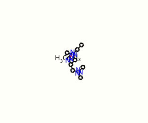 Cc1cc(C)nc(-c2ccc(-c3cccc(-c4nc(-c5ccccc5)nc(-c5ccccc5)n4)c3)cc2-c2cccc(-c3nc(-c4ccccc4)nc(-c4ccc(-c5ccccc5)cc4)n3)c2)n1